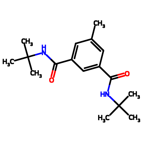 Cc1cc(C(=O)NC(C)(C)C)cc(C(=O)NC(C)(C)C)c1